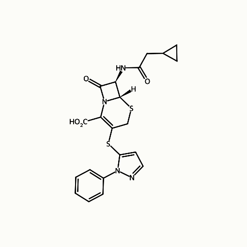 O=C(CC1CC1)N[C@@H]1C(=O)N2C(C(=O)O)=C(Sc3ccnn3-c3ccccc3)CS[C@@H]12